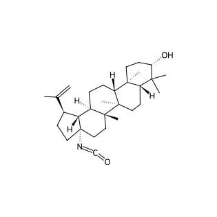 C=C(C)[C@@H]1CC[C@]2(N=C=O)CC[C@]3(C)[C@H](CC[C@@H]4[C@@]5(C)CC[C@H](O)C(C)(C)[C@@H]5CC[C@]43C)[C@@H]12